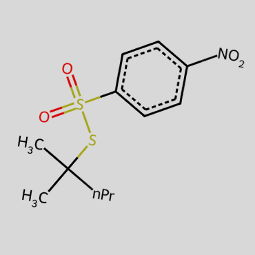 CCCC(C)(C)SS(=O)(=O)c1ccc([N+](=O)[O-])cc1